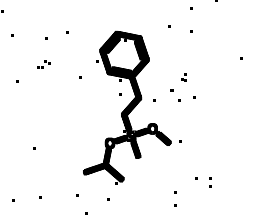 CO[Si](C)(CCc1ccccc1)OC(C)C